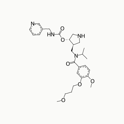 COCCCOc1cc(C(=O)N(C[C@@H]2CNC[C@H]2OC(=O)NCc2cccnc2)C(C)C)ccc1OC